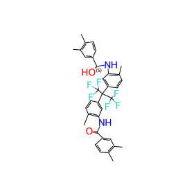 Cc1ccc(C(=O)Nc2cc(C(c3ccc(C)c(N[C@@H](O)c4ccc(C)c(C)c4)c3)(C(F)(F)F)C(F)(F)F)ccc2C)cc1C